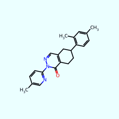 Cc1ccc(-n2ncc3c(c2=O)CCC(c2ccc(C)cc2C)C3)nc1